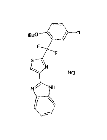 CC(C)COc1ccc(Cl)cc1C(F)(F)c1nc(-c2nc3ccccc3[nH]2)cs1.Cl